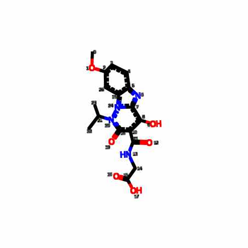 COc1ccc2nc3c(O)c(C(=O)NCC(=O)O)c(=O)n(C(C)C)n3c2c1